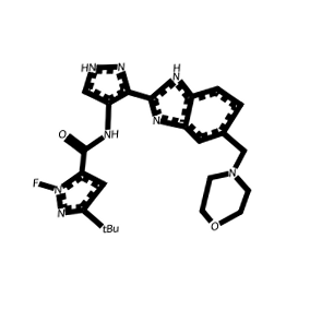 CC(C)(C)c1cc(C(=O)Nc2c[nH]nc2-c2nc3cc(CN4CCOCC4)ccc3[nH]2)n(F)n1